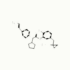 N#C/C=C/c1ccc([C@@H](C(=O)Nc2cc(CC3(C(=O)O)CC3)ccc2F)C2CCCC2)cc1